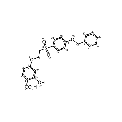 O=C(O)c1ccc(OCCS(=O)(=O)c2ccc(OCc3ccccc3)cc2)cc1O